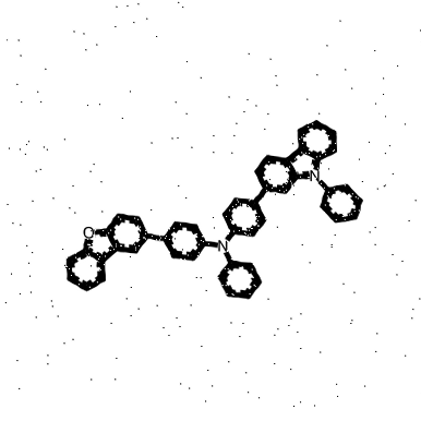 c1ccc(N(c2ccc(-c3ccc4oc5ccccc5c4c3)cc2)c2ccc(-c3ccc4c5ccccc5n(-c5ccccc5)c4c3)cc2)cc1